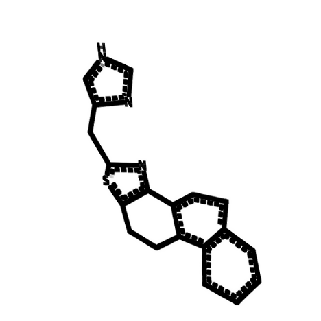 c1ccc2c3c(ccc2c1)-c1nc(Cc2c[nH]cn2)sc1CC3